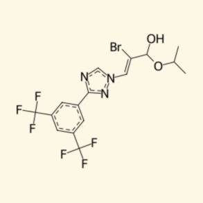 CC(C)OC(O)/C(Br)=C/n1cnc(-c2cc(C(F)(F)F)cc(C(F)(F)F)c2)n1